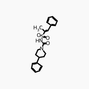 C/C(=C\c1ccccc1)S(=O)(=O)NC(=O)N1CCC(c2ccccc2)CC1